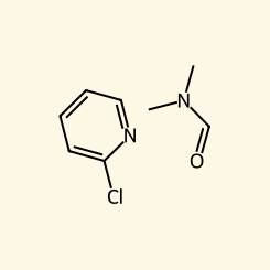 CN(C)C=O.Clc1ccccn1